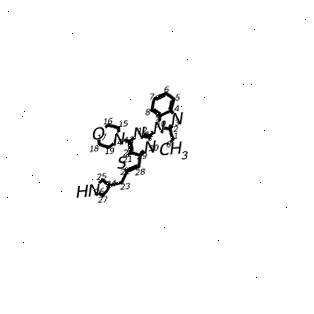 CCc1nc2ccccc2n1-c1nc(N2CCOCC2)c2sc(CC3CNC3)cc2n1